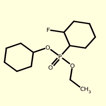 CCOP(=O)(OC1CCCCC1)C1CCCCC1F